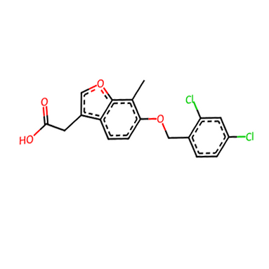 Cc1c(OCc2ccc(Cl)cc2Cl)ccc2c(CC(=O)O)coc12